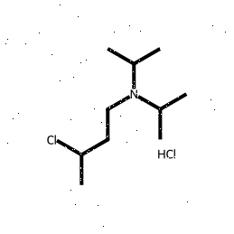 CC(Cl)CCN(C(C)C)C(C)C.Cl